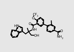 Cc1cc(C(N)=O)ccc1-c1ccc(OC(F)(F)F)c(C(=O)NC(C)(CO)Cc2c[nH]c3ccccc23)c1